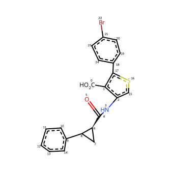 O=C(O)c1c(NC(=O)[C@H]2CC2c2ccccc2)csc1-c1ccc(Br)cc1